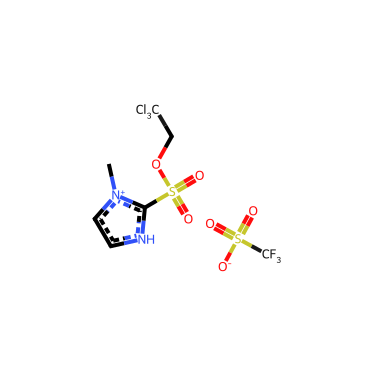 C[n+]1cc[nH]c1S(=O)(=O)OCC(Cl)(Cl)Cl.O=S(=O)([O-])C(F)(F)F